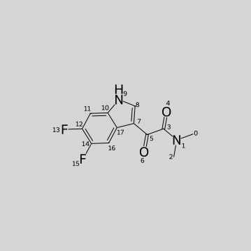 CN(C)C(=O)C(=O)c1c[nH]c2cc(F)c(F)cc12